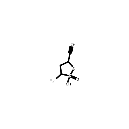 C#CC1CC(C)P(=O)(O)O1